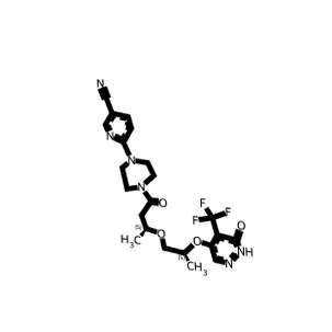 C[C@@H](CC(=O)N1CCN(c2ccc(C#N)cn2)CC1)OC[C@H](C)Oc1cn[nH]c(=O)c1C(F)(F)F